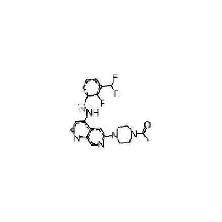 CC(=O)N1CCN(c2cc3c(N[C@H](C)c4cccc(C(F)F)c4F)ccnc3cn2)CC1